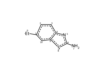 C[CH]c1ccc2nc(N)sc2c1